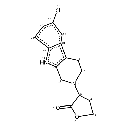 O=C1OCCC1N1CCc2c([nH]c3ccc(Cl)cc23)C1